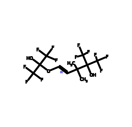 CC(C)(/C=C/OC(O)(C(F)(F)F)C(F)(F)F)C(O)(C(F)(F)F)C(F)(F)F